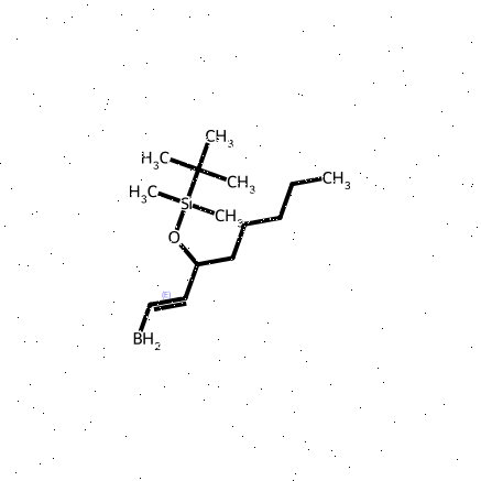 B/C=C/C(CCCCC)O[Si](C)(C)C(C)(C)C